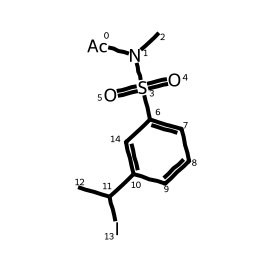 CC(=O)N(C)S(=O)(=O)c1cccc(C(C)I)c1